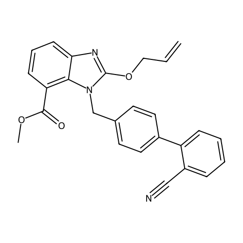 C=CCOc1nc2cccc(C(=O)OC)c2n1Cc1ccc(-c2ccccc2C#N)cc1